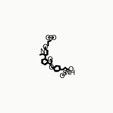 Cc1nc(OCCCS(C)(=O)=O)ccc1-c1cccc2c1OC[C@H]2Oc1ccc(C2CC(=O)N[S+]2[O-])cc1